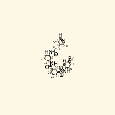 Cc1n[nH]c(C)c1CCC(=O)Nc1cccc(NC(=O)c2cccc(S(=O)(=O)Nc3ccc(Br)cc3)c2)c1